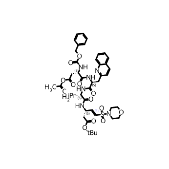 C=C(C)OC(=O)C[C@H](NC(=O)OCc1ccccc1)C(=O)N[C@@H](Cc1ccc2ccccc2n1)C(=O)N[C@H](C(=O)N[C@H](/C=C/S(=O)(=O)N1CCOCC1)CC(=O)OC(C)(C)C)C(C)C